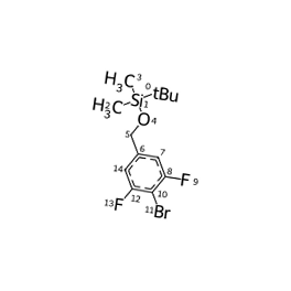 CC(C)(C)[Si](C)(C)OCc1cc(F)c(Br)c(F)c1